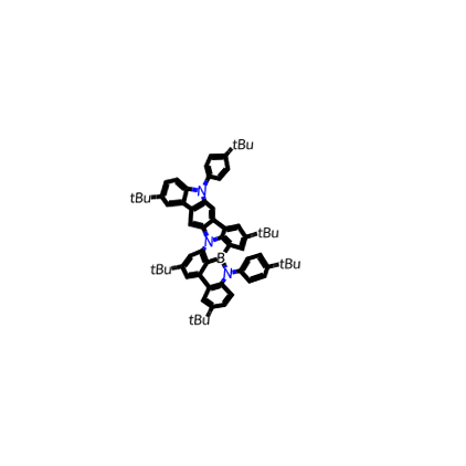 CC(C)(C)c1ccc(N2B3c4c(cc(C(C)(C)C)cc4-n4c5cc6c7cc(C(C)(C)C)ccc7n(-c7ccc(C(C)(C)C)cc7)c6cc5c5cc(C(C)(C)C)cc3c54)-c3cc(C(C)(C)C)ccc32)cc1